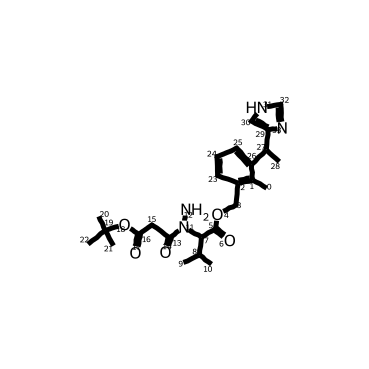 Cc1c(COC(=O)C(C(C)C)N(N)C(=O)CC(=O)OC(C)(C)C)cccc1C(C)c1c[nH]cn1